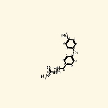 CCC(C)c1ccc(Oc2ccc(CNNC(N)=O)cc2)cc1